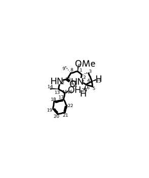 CO[C@@H]([C@@H]1C[C@@H]2C[C@@H]2N1)[C@@H](C)C(=O)N[C@H](C)[C@@H](O)c1ccccc1